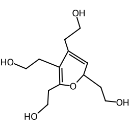 OCCC1=CC(CCO)OC(CCO)=C1CCO